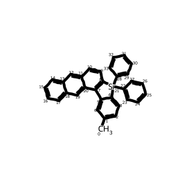 Cc1ccc2c(c1)-c1c(ccc3cc4ccccc4cc13)[Si]2(c1ccccc1)c1ccccc1